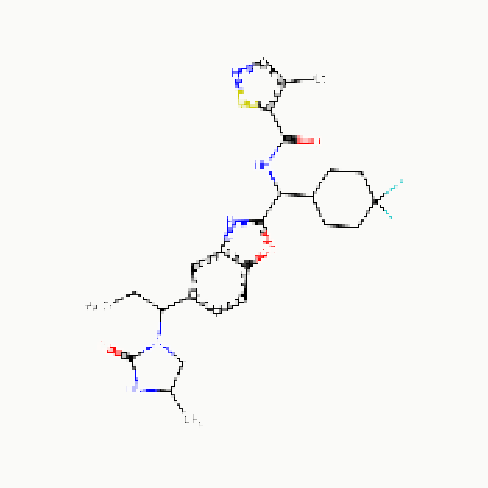 CCc1cnsc1C(=O)NC(c1nc2cc(C(COC)N3CC(C(F)(F)F)NC3=O)ccc2o1)C1CCC(F)(F)CC1